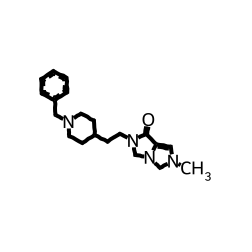 CN1C=C2C(=O)N(CCC3CCN(Cc4ccccc4)CC3)CN2C1